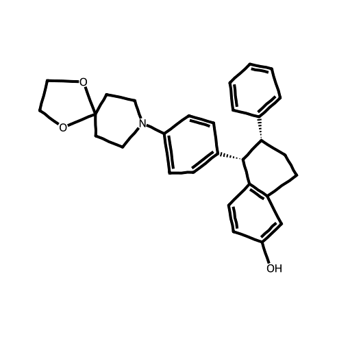 Oc1ccc2c(c1)CC[C@@H](c1ccccc1)[C@H]2c1ccc(N2CCC3(CC2)OCCO3)cc1